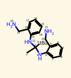 CC(C)(C)C(C)(Nc1ccccc1CN)Nc1ccccc1CN